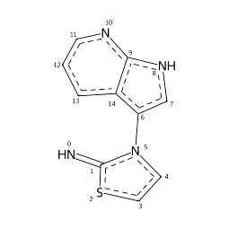 N=c1sccn1-c1c[nH]c2ncccc12